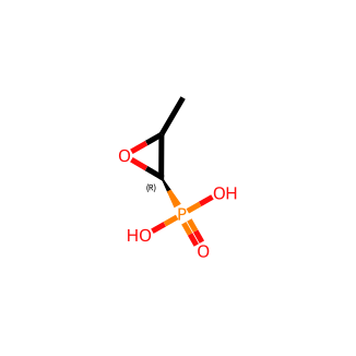 CC1O[C@@H]1P(=O)(O)O